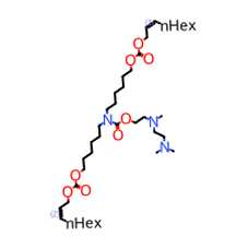 CCCCCC/C=C\COC(=O)OCCCCCCN(CCCCCCOC(=O)OC/C=C\CCCCCC)C(=O)OCCN(C)CCN(C)C